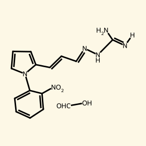 O=CO.[H]/N=C(\N)NN=CC=Cc1cccn1-c1ccccc1[N+](=O)[O-]